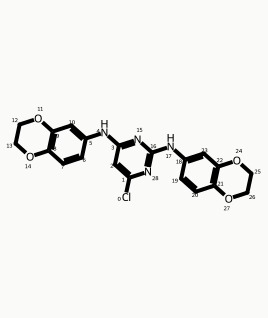 Clc1cc(Nc2ccc3c(c2)OCCO3)nc(Nc2ccc3c(c2)OCCO3)n1